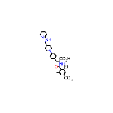 CCc1cc(C(Cl)(Cl)Cl)cc(C)c1C(=O)NC(Cc1ccc(N2CCC(CNc3ccccn3)CC2)cc1)C(=O)O